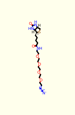 [N-]=[N+]=NCCOCCOCCOCCOCCNC(=O)CCCC[C@@H]1SC[C@@H]2NC(=O)N[C@@H]21